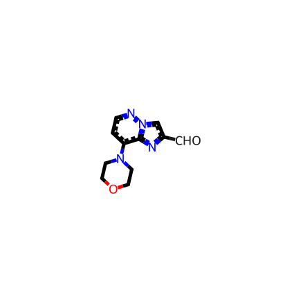 O=Cc1cn2nccc(N3CCOCC3)c2n1